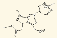 CC(=O)c1nn(CC(=O)OC(C)(C)C)c2c(CO)cc(-c3cnc(C)nc3)cc12